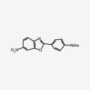 CNc1ccc(-c2nc3ccc([N+](=O)[O-])cc3o2)cc1